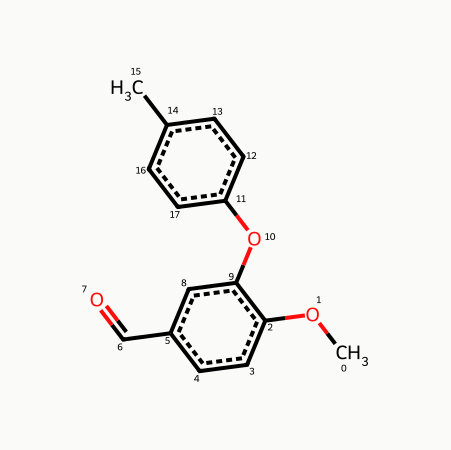 COc1ccc(C=O)cc1Oc1ccc(C)cc1